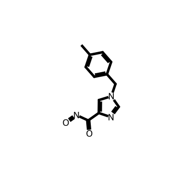 Cc1ccc(Cn2cnc(C(=O)N=O)c2)cc1